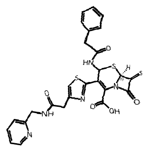 O=C(Cc1csc(C2=C(C(=O)O)N3C(=O)C(=S)[C@@H]3SC2NC(=O)Cc2ccccc2)n1)NCc1ccccn1